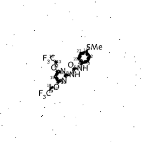 CSc1ccc(NC(=O)Nc2nc(OCC(F)(F)F)cc(OCC(F)(F)F)n2)cc1